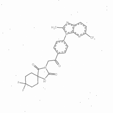 Cc1nc2ccc(C(F)(F)F)nc2n1-c1ccc(C(=O)CN2C(=O)NC3(CCC(F)(F)CC3)C2=O)cc1